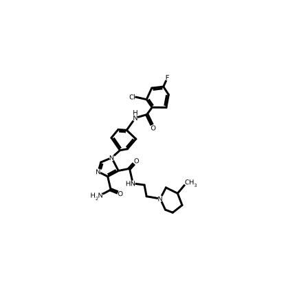 CC1CCCN(CCNC(=O)c2c(C(N)=O)ncn2-c2ccc(NC(=O)c3ccc(F)cc3Cl)cc2)C1